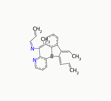 C=C/C=N\C(=C/C)c1ncccc1B1C(=C/C=C)/C(=C\C)c2ccccc21